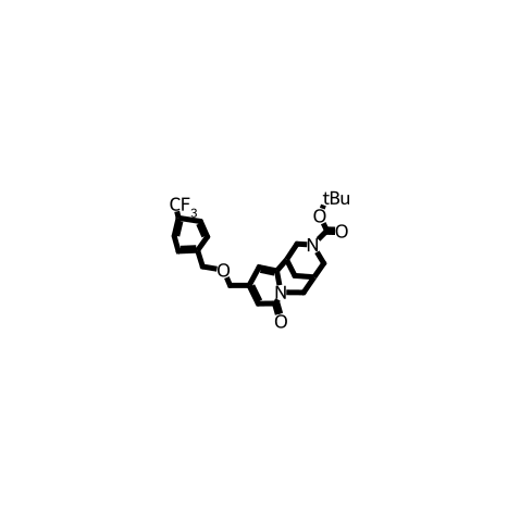 CC(C)(C)OC(=O)N1CC2CC(C1)c1cc(COCc3ccc(C(F)(F)F)cc3)cc(=O)n1C2